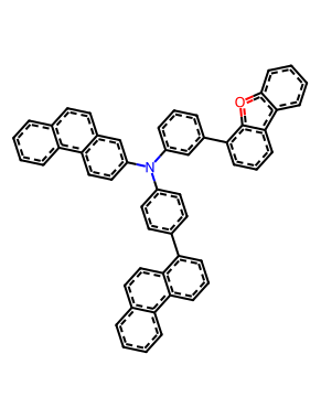 c1cc(-c2cccc3c2oc2ccccc23)cc(N(c2ccc(-c3cccc4c3ccc3ccccc34)cc2)c2ccc3c(ccc4ccccc43)c2)c1